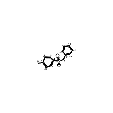 Cc1ccc(S(=O)(=O)Cc2ccccc2)cc1